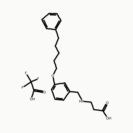 O=C(O)C(F)(F)F.O=C(O)CCNCc1cccc(OCCCCCc2ccccc2)c1